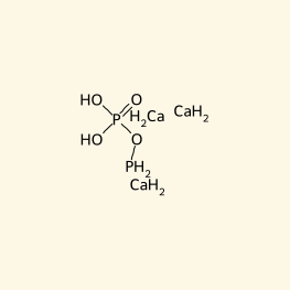 O=P(O)(O)OP.[CaH2].[CaH2].[CaH2]